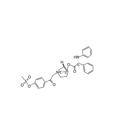 CS(=O)(=O)Oc1ccc(C(=O)C[N+]23CCC(CC2)[C@@H](OC(=O)[C@H](Nc2ccccc2)c2ccccc2)C3)cc1